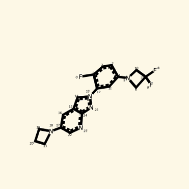 Fc1ccc(N2CC(F)(F)C2)cc1-n1cc2cc(N3CCC3)cnc2n1